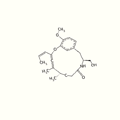 C/C=C\C1=C=C(C)[C@@H](C)CCC(=O)N[C@H](CO)Cc2ccc(OC)c(c2)O1